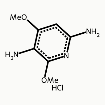 COc1cc(N)nc(OC)c1N.Cl